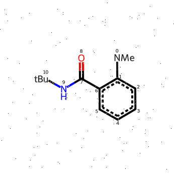 CNc1ccccc1C(=O)NC(C)(C)C